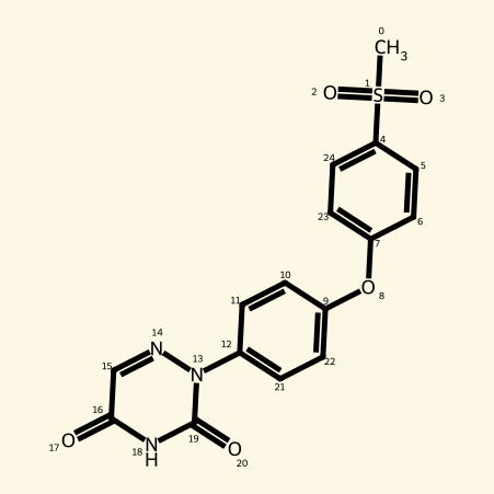 CS(=O)(=O)c1ccc(Oc2ccc(-n3ncc(=O)[nH]c3=O)cc2)cc1